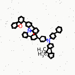 CC1(C)c2ccccc2-c2ccc(N(C3=CCC(c4ccc(-c5ccccc5-n5c6ccccc6c6ccc(-c7cccc8c7oc7ccccc78)cc65)cc4)C=C3)c3ccc(-c4ccccc4)cc3)cc21